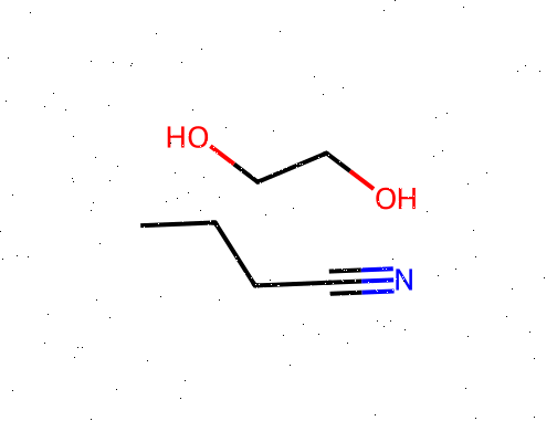 CCCC#N.OCCO